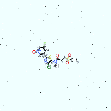 CCN(C(=O)CCS(C)(=O)=O)c1sc(-c2cc(F)c[n+]([O-])c2)nc1Cl